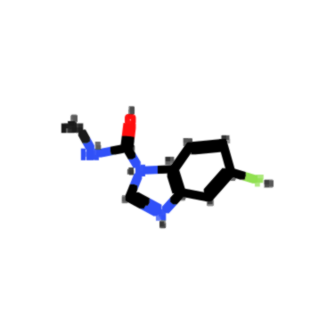 CCCCNC(=O)n1cnc2cc(F)ccc21